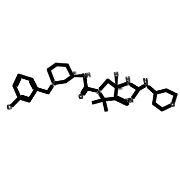 CC1(C)C2=CNC(NC3CCOCC3)N[C@H]2CN1C(=O)N[C@@H]1CCCN(Cc2cccc(Cl)c2)C1